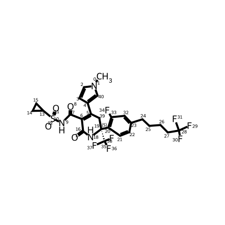 Cn1ccc(C2=C(C(=O)NS(=O)(=O)C3CC3)C(=O)N[C@@](c3ccc(CCCCC(F)(F)F)cc3F)(C(F)(F)F)C2)c1